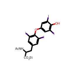 CCOC(=O)C(Cc1cc(I)c(Oc2cc(I)c(O)c(I)c2)c(I)c1)NC(C)=O